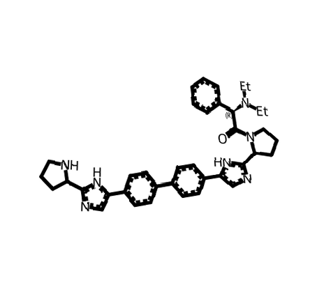 CCN(CC)[C@@H](C(=O)N1CCCC1c1ncc(-c2ccc(-c3ccc(-c4cnc(C5CCCN5)[nH]4)cc3)cc2)[nH]1)c1ccccc1